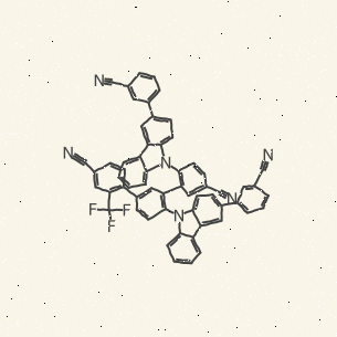 N#Cc1cccc(-c2ccc3c(c2)c2ccccc2n3-c2ccc(C#N)cc2-c2cc(-c3ccc(C#N)cc3C(F)(F)F)ccc2-n2c3ccccc3c3cc(-c4cccc(C#N)c4)ccc32)c1